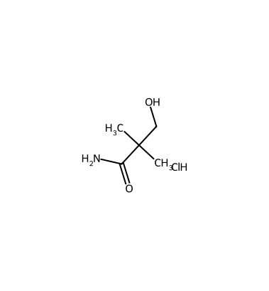 CC(C)(CO)C(N)=O.Cl